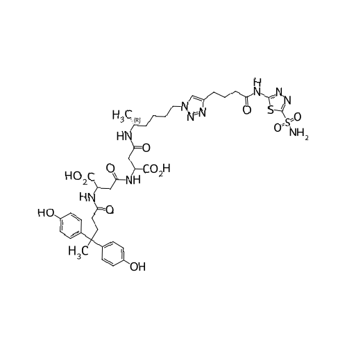 C[C@H](CCCCn1cc(CCCC(=O)Nc2nnc(S(N)(=O)=O)s2)nn1)NC(=O)CC(NC(=O)CC(NC(=O)CCC(C)(c1ccc(O)cc1)c1ccc(O)cc1)C(=O)O)C(=O)O